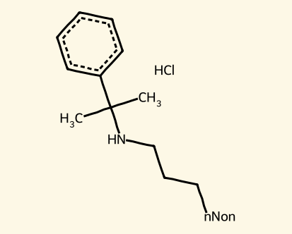 CCCCCCCCCCCCNC(C)(C)c1ccccc1.Cl